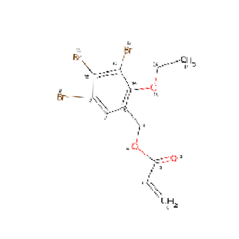 C=CC(=O)OCc1cc(Br)c(Br)c(Br)c1OCC